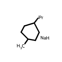 CC1CCC(C(C)C)CC1.[NaH]